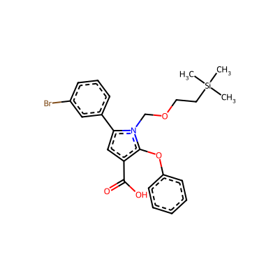 C[Si](C)(C)CCOCn1c(-c2cccc(Br)c2)cc(C(=O)O)c1Oc1ccccc1